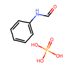 O=CNc1ccccc1.O=P(O)(O)O